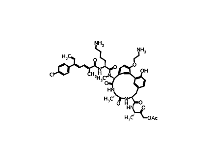 C=C/C(=C\C=C(/C)C(=O)N[C@@H](CCCCN)C(=O)N(C)[C@@H]1C(=O)N[C@@H](C)C(=O)N[C@H](C(=O)N[C@@H](C)C(=O)COC(C)=O)Cc2ccc(O)c(c2)-c2cc1ccc2OCCN)c1ccc(Cl)cc1